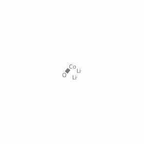 [Li].[Li].[O]=[Co]